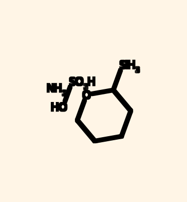 N.O=S(=O)(O)O.[SiH3]C1CCCCO1